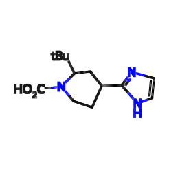 CC(C)(C)C1CC(c2ncc[nH]2)CCN1C(=O)O